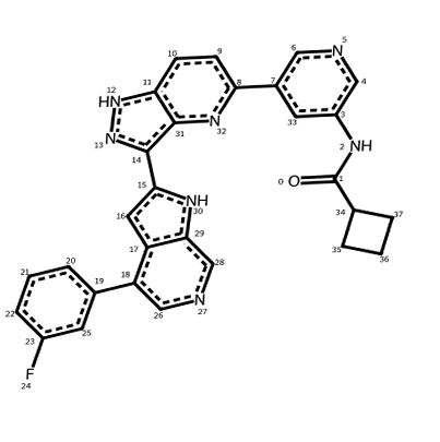 O=C(Nc1cncc(-c2ccc3[nH]nc(-c4cc5c(-c6cccc(F)c6)cncc5[nH]4)c3n2)c1)C1CCC1